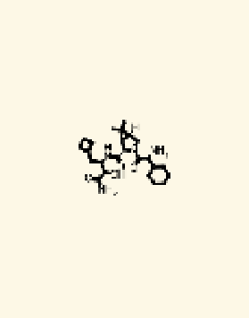 CC1(C)C2[C@@H](C(=O)NC(CC3CCC3)C(O)C(N)=O)N(C(=O)[C@@H](N)C3CCCCC3)C[C@@H]21